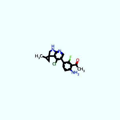 CC(=O)c1c(N)ccc(-c2cnc3c(c2Cl)C2(CN3)CC2C)c1F